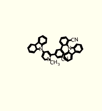 CN1CC=C(N2c3ccccc3C3C=CC=CC32)C=C1c1cc(C#N)cc(-c2cccc(C#N)c2-n2c3ccccc3c3ccccc32)c1